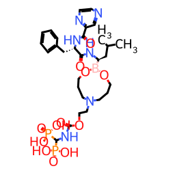 CC(C)C[C@H](NC(=O)[C@H](Cc1ccccc1)NC(=O)c1cnccn1)B1OCCCN(CCOC(=O)NC(P(=O)(O)O)P(=O)(O)O)CCCO1